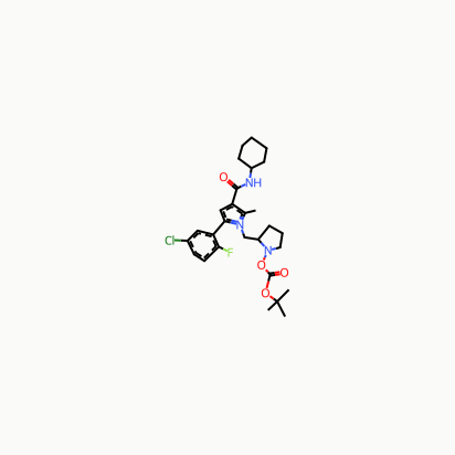 Cc1c(C(=O)NC2CCCCC2)cc(-c2cc(Cl)ccc2F)n1CC1CCCN1OC(=O)OC(C)(C)C